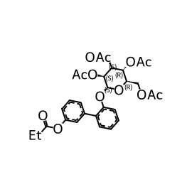 CCC(=O)Oc1cccc(-c2ccccc2O[C@@H]2O[C@H](COC(C)=O)[C@@H](OC(C)=O)[C@H](OC(C)=O)[C@@H]2OC(C)=O)c1